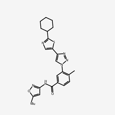 Cc1ccc(C(=O)Nc2cc(C(C)(C)C)on2)cc1-n1cc(-c2cnc(C3CCCCC3)s2)nn1